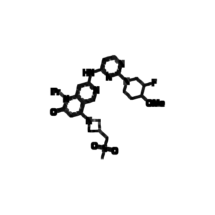 COC1CCN(c2nccc(Nc3cc4c(cn3)c(N3CC(CS(C)(=O)=O)C3)cc(=O)n4C(C)C)n2)CC1F